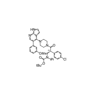 COc1cccc(-c2cnc3[nH]ccc3c2N2CCN(C(=O)[C@H](CN(C(=O)OC(C)(C)C)C(C)C)c3ccc(Cl)cc3)CC2)c1